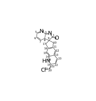 O=C1N=C2N=CC=CC2C12Cc1cc3c(cc1C2)N[C@H](CCl)C=C3